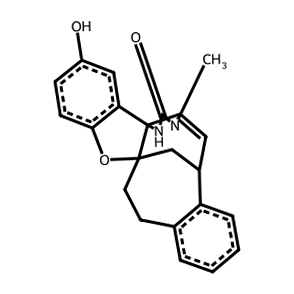 CN1C(=O)NC23C1=CC1CC2(CCc2ccccc21)Oc1ccc(O)cc13